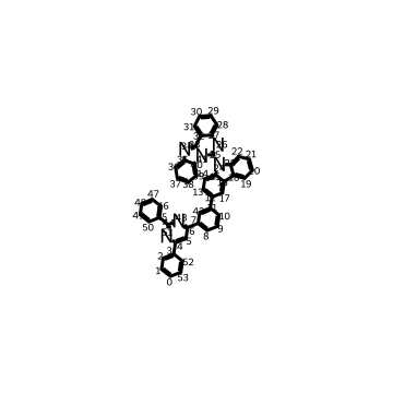 c1ccc(-c2cc(-c3cccc(-c4ccc5c(c4)c4ccccc4n5-c4nc5ccccc5c5nc6ccccc6n45)c3)nc(-c3ccccc3)n2)cc1